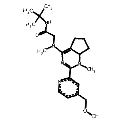 COCc1ccnc(C2=NC(N(C)CC(=O)NC(C)(C)C)=C3CCCC3N2C)c1